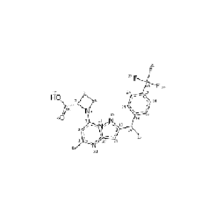 Cc1cc(N2CC[C@H]2C(=O)O)n2nc(C(C)c3ccc(C(F)(F)F)cc3)cc2n1